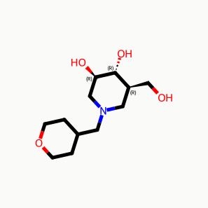 OC[C@H]1CN(CC2CCOCC2)C[C@@H](O)[C@@H]1O